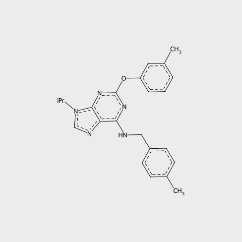 Cc1ccc(CNc2nc(Oc3cccc(C)c3)nc3c2ncn3C(C)C)cc1